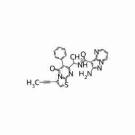 CC#Cc1csc2nc(C(C)NC(=O)c3c(N)nn4cccnc34)c(-c3ccccc3)c(=O)n12